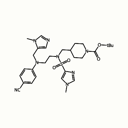 Cn1cnc(S(=O)(=O)N(CCN(Cc2cncn2C)c2ccc(C#N)cc2)CC2CCN(C(=O)OC(C)(C)C)CC2)c1